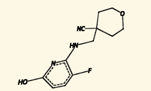 N#CC1(CNc2nc(O)ccc2F)CCOCC1